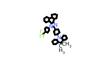 CC1(C)c2ccccc2N(c2ccc(-c3nc4c5ccccc5c5ccccc5c4n3-c3ccc(C(F)(F)F)cc3)cc2)c2ccccc21